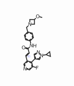 COC1CN(Cc2ccc(NC(=O)/C=C/c3cncc(F)c3-c3cnn(C4CC4)c3)cc2)C1